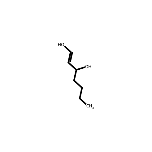 CCCCC(O)C=CO